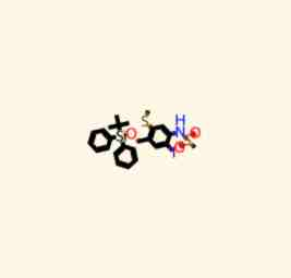 CSc1cc(NS(C)(=O)=O)c(I)cc1CO[Si](c1ccccc1)(c1ccccc1)C(C)(C)C